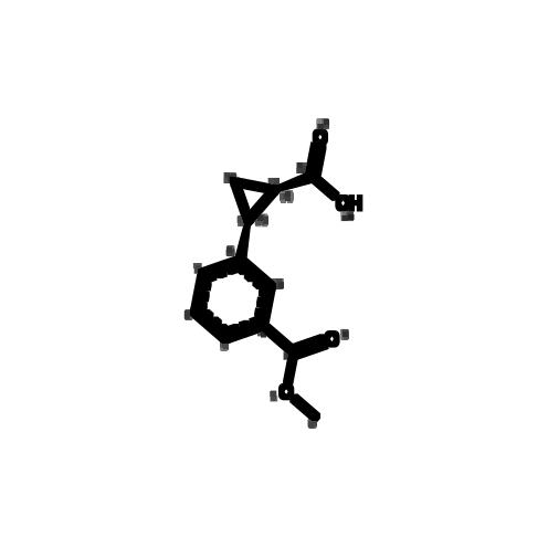 COC(=O)c1cccc([C@H]2C[C@H]2C(=O)O)c1